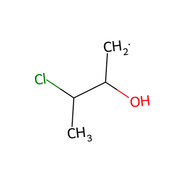 [CH2]C(O)C(C)Cl